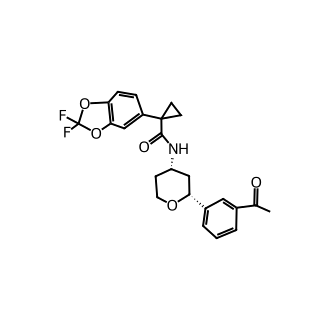 CC(=O)c1cccc([C@H]2C[C@@H](NC(=O)C3(c4ccc5c(c4)OC(F)(F)O5)CC3)CCO2)c1